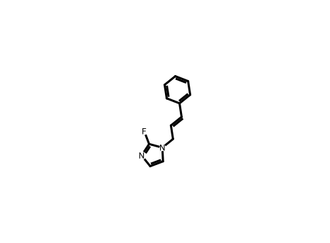 Fc1nccn1CC=Cc1ccccc1